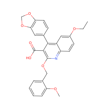 CCOc1ccc2nc(OCc3ccccc3OC)c(C(=O)O)c(-c3ccc4c(c3)OCO4)c2c1